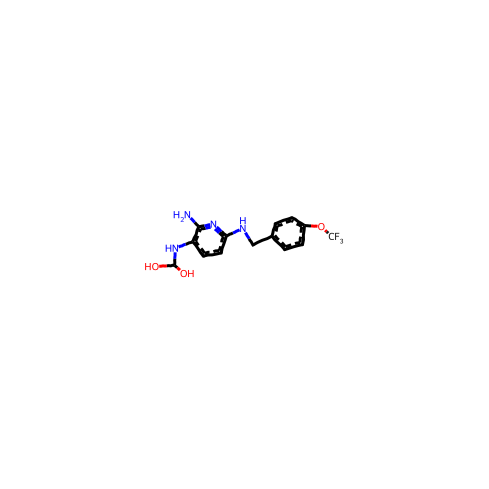 Nc1nc(NCc2ccc(OC(F)(F)F)cc2)ccc1NC(O)O